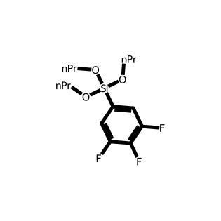 CCCO[Si](OCCC)(OCCC)c1cc(F)c(F)c(F)c1